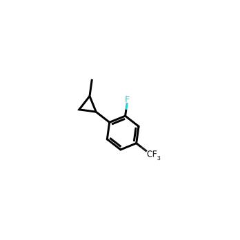 CC1CC1c1ccc(C(F)(F)F)cc1F